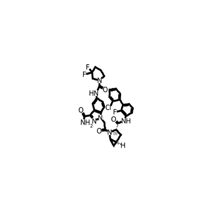 NC(=O)c1nn(CC(=O)N2C3C[C@@H]3C[C@H]2C(=O)Nc2cccc(-c3ccccc3Cl)c2F)c2ccc(NC(=O)N3CCCC(F)(F)C3)cc12